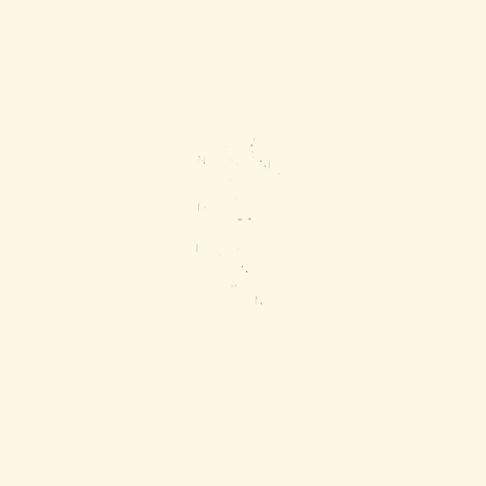 CN1CCC1C(=O)Nc1cc(F)c2c(c1O)C(=O)C1=C3C4C(C(N)=O)=C(O)[C@@H](N(C)C)[C@H](C[C@@H]1C2)[C@]34C